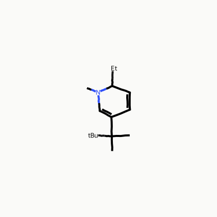 CCC1C=CC(C(C)(C)C(C)(C)C)=CN1C